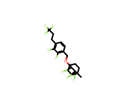 CC12CCC(OCc3ccc(CCC(F)(F)F)c(F)c3F)(CC1)C(F)C2(F)F